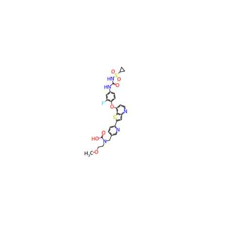 COCCN(Cc1ccc(-c2cc3nccc(Oc4ccc(NC(=O)NS(=O)(=O)C5CC5)cc4F)c3s2)nc1)C(=O)O